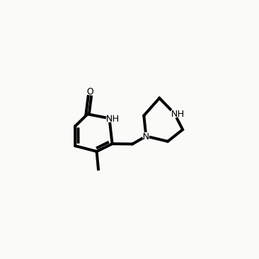 Cc1ccc(=O)[nH]c1CN1CCNCC1